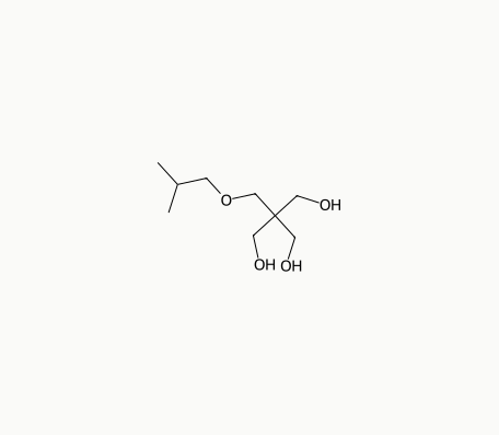 CC(C)COCC(CO)(CO)CO